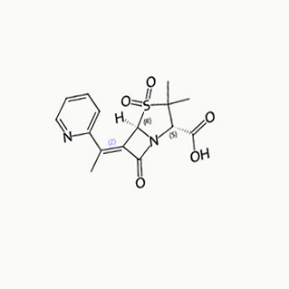 C/C(=C1\C(=O)N2[C@@H](C(=O)O)C(C)(C)S(=O)(=O)[C@H]12)c1ccccn1